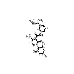 CN[C@H](C)c1cncc(NC(=O)c2c(N)ncn(-c3c(Cl)cc(Br)cc3Cl)c2=O)c1